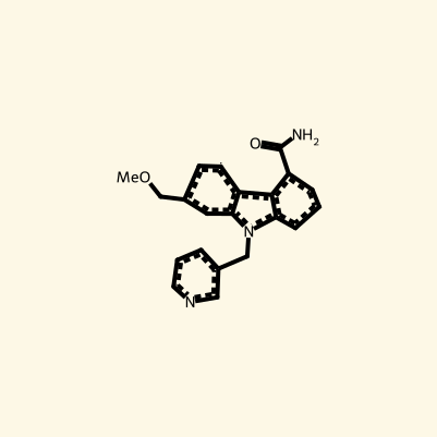 COCc1c[c]c2c3c(C(N)=O)cccc3n(Cc3cccnc3)c2c1